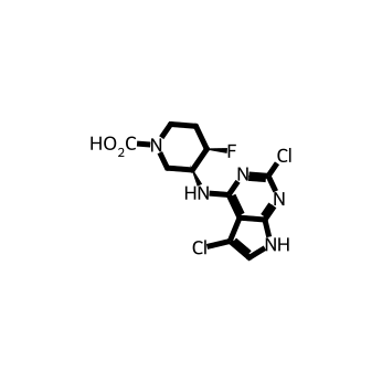 O=C(O)N1CC[C@@H](F)[C@@H](Nc2nc(Cl)nc3[nH]cc(Cl)c23)C1